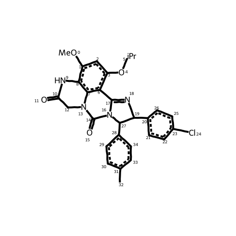 COc1cc(OC(C)C)c2c3c1NC(=O)CN3C(=O)N1C2=NC(c2ccc(Cl)cc2)C1c1ccc(C)cc1